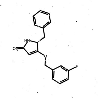 O=C1C=C(OCc2cccc(F)c2)[C@H](Cc2ccccc2)N1